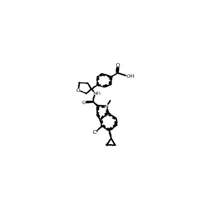 Cn1c(C(=O)NC2(c3ccc(C(=O)O)cc3)CCOC2)cc2c(Cl)c(C3CC3)ccc21